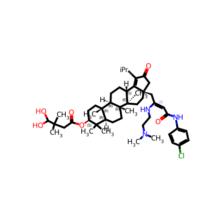 CC(C)C1=C2[C@H]3CC[C@@H]4[C@@]5(C)CC[C@H](OC(=O)CC(C)(C)C(O)O)C(C)(C)[C@@H]5CC[C@@]4(C)[C@]3(C)CC[C@@]2(C/C(=C/C(=O)Nc2ccc(Cl)cc2)NCCN(C)C)CC1=O